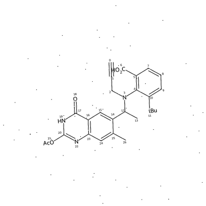 C#CCN(c1c(C(=O)O)cccc1C(C)(C)C)C(C)c1cc2c(=O)[nH]c(OC(C)=O)nc2cc1C